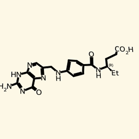 CC[C@H](CCC(=O)O)NC(=O)c1ccc(NCc2cnc3[nH]c(N)nc(=O)c3n2)cc1